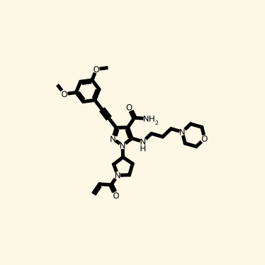 C=CC(=O)N1CCC(n2nc(C#Cc3cc(OC)cc(OC)c3)c(C(N)=O)c2NCCCN2CCOCC2)C1